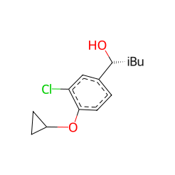 CC[C@@H](C)C(O)c1ccc(OC2CC2)c(Cl)c1